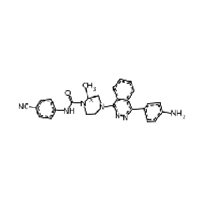 C[C@H]1CN(c2nnc(-c3ccc(N)cc3)c3ccccc23)CCN1C(=O)Nc1ccc(C#N)cc1